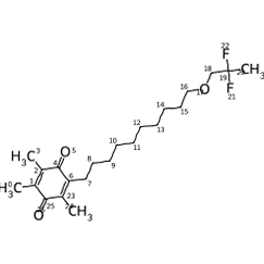 CC1=C(C)C(=O)C(CCCCCCCCCCOCC(C)(F)F)=C(C)C1=O